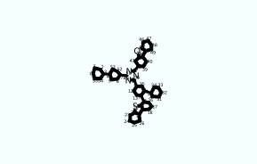 c1ccc(-c2ccc(-c3nc(-c4ccc(-c5cccc6c5sc5ccccc56)c(-c5ccccc5)c4)nc(-c4ccc5c(c4)oc4ccccc45)n3)cc2)cc1